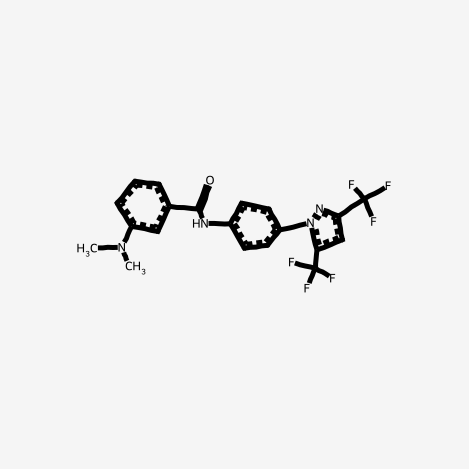 CN(C)c1cccc(C(=O)Nc2ccc(-n3nc(C(F)(F)F)cc3C(F)(F)F)cc2)c1